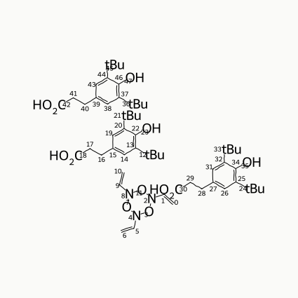 C=CN1ON(C=C)ON(C=C)O1.CC(C)(C)c1cc(CCC(=O)O)cc(C(C)(C)C)c1O.CC(C)(C)c1cc(CCC(=O)O)cc(C(C)(C)C)c1O.CC(C)(C)c1cc(CCC(=O)O)cc(C(C)(C)C)c1O